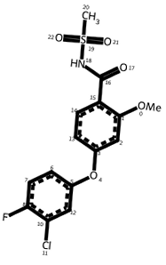 COc1cc(Oc2ccc(F)c(Cl)c2)ccc1C(=O)NS(C)(=O)=O